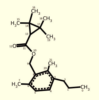 CCCc1ccc(C)c(COC(=O)C2C(C)(C)C2(C)C)c1C